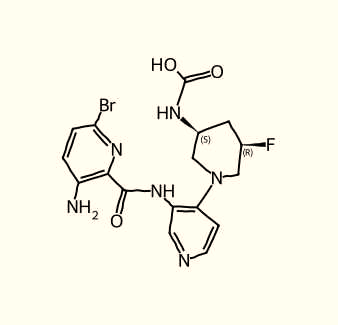 Nc1ccc(Br)nc1C(=O)Nc1cnccc1N1C[C@H](F)C[C@H](NC(=O)O)C1